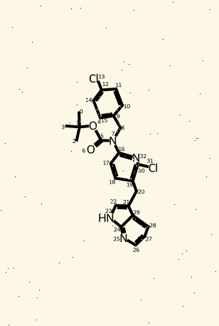 CC(C)(C)OC(=O)N(Cc1ccc(Cl)cc1)c1ccc(Cc2c[nH]c3ncccc23)c(Cl)n1